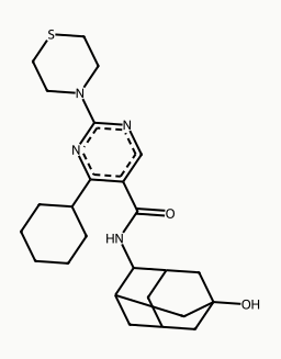 O=C(NC1C2CC3CC1CC(O)(C3)C2)c1cnc(N2CCSCC2)nc1C1CCCCC1